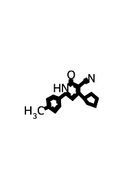 Cc1ccc(-c2cc(C3CCCC3)c(C#N)c(=O)[nH]2)cc1